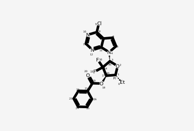 CC[C@H]1O[C@@H](n2ccc3c(Cl)ncnc32)C(F)(F)[C@@H]1OC(=O)c1ccccc1